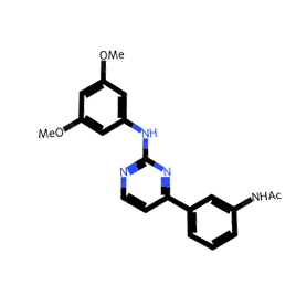 COc1cc(Nc2nccc(-c3cccc(NC(C)=O)c3)n2)cc(OC)c1